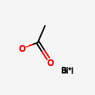 CC(=O)[O-].[Bi+]